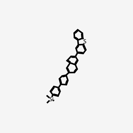 C[Si](C)(C)c1ccc(-c2ccc(-c3ccc4cc(-c5ccc6sc7ccccc7c6c5)ccc4c3)cc2)cc1